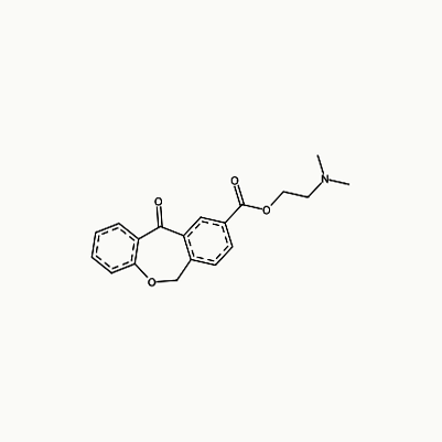 CN(C)CCOC(=O)c1ccc2c(c1)C(=O)c1ccccc1OC2